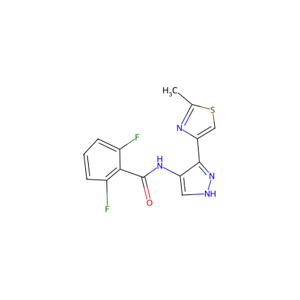 Cc1nc(-c2n[nH]cc2NC(=O)c2c(F)cccc2F)cs1